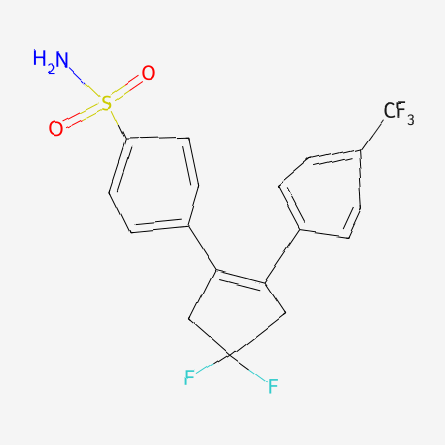 NS(=O)(=O)c1ccc(C2=C(c3ccc(C(F)(F)F)cc3)CC(F)(F)C2)cc1